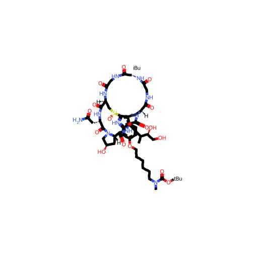 CC[C@H](C)[C@@H]1NC(=O)CNC(=O)[C@@H]2Cc3c([nH]c4cc(OCCCCCCN(C)C(=O)OC(C)(C)C)ccc34)[S+]([O-])C[C@H](NC(=O)CNC1=O)C(=O)N[C@@H](CC(N)=O)C(=O)N1C[C@H](O)C[C@H]1C(=O)NC(C(C)[C@@H](O)CO)C(=O)N2